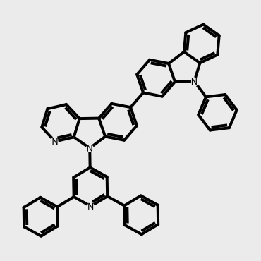 c1ccc(-c2cc(-n3c4ccc(-c5ccc6c7ccccc7n(-c7ccccc7)c6c5)cc4c4cccnc43)cc(-c3ccccc3)n2)cc1